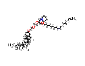 CCCCCCCC/C=C\CCCCCCCCOCC(CN1CCCCCC1)OCCOCCO[C@H]1CC[C@@]2(C)C(=CCC3[C@@H]2CC[C@]2(C)C(C(C)CCCC(C)C)CC[C@@H]32)C1